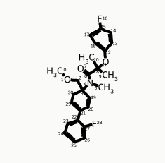 COCC1(N(C)C(=O)C(C)(C)Oc2ccc(F)cc2)C=CC(c2ccccc2F)=CC1